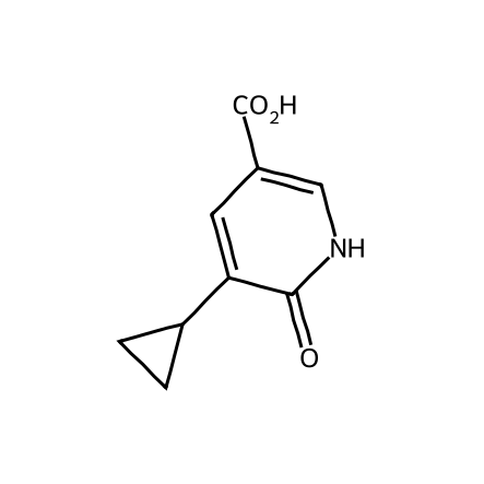 O=C(O)c1c[nH]c(=O)c(C2CC2)c1